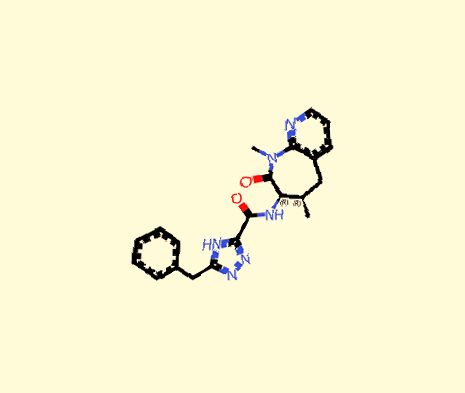 C[C@@H]1Cc2cccnc2N(C)C(=O)[C@@H]1NC(=O)c1nnc(Cc2ccccc2)[nH]1